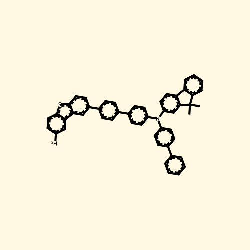 [2H]c1ccc2sc3ccc(-c4ccc(-c5ccc(N(c6ccc(-c7ccccc7)cc6)c6ccc7c(c6)C(C)(C)c6ccccc6-7)cc5)cc4)cc3c2c1